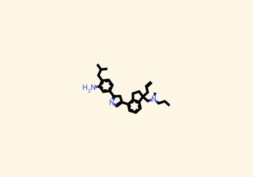 C=CCC1(CN(C)CCC)CCc2c(C3=CN=C(c4ccc(CC(C)C)c(N)c4)C3)cccc21